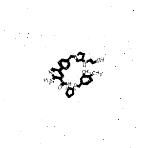 Cc1ccc(CO[C@H]2CCC[C@@H]2NC(=O)c2cc(-c3ccc(CN4CCC(NCCO)C4)cc3)cnc2N)cc1C